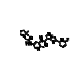 Cc1ncc(NC(=O)CN2CCCC2(C)C)cc1NC(=O)c1cnn2cc(-c3cccc(F)n3)sc12